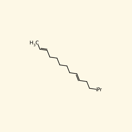 CC=CCCCCCC=CCCC(C)C